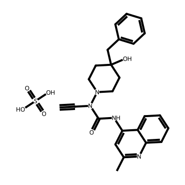 C#CN(C(=O)Nc1cc(C)nc2ccccc12)N1CCC(O)(Cc2ccccc2)CC1.O=S(=O)(O)O